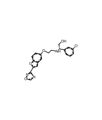 OC[C@H](NCCOc1ccc2oc(-c3ncon3)cc2c1)c1cccc(Cl)c1